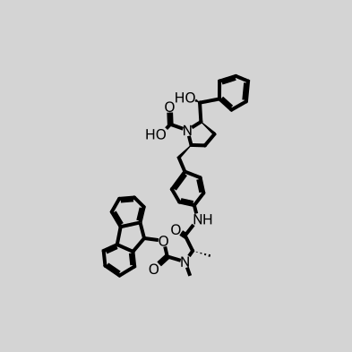 C[C@@H](C(=O)Nc1ccc(C[C@@H]2CC[C@H]([C@H](O)c3ccccc3)N2C(=O)O)cc1)N(C)C(=O)OC1c2ccccc2-c2ccccc21